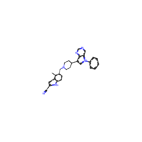 Cc1c(CN2CCC(c3cn(-c4ccccc4)c4cncnc34)CC2)ccc2[nH]c(C#N)cc12